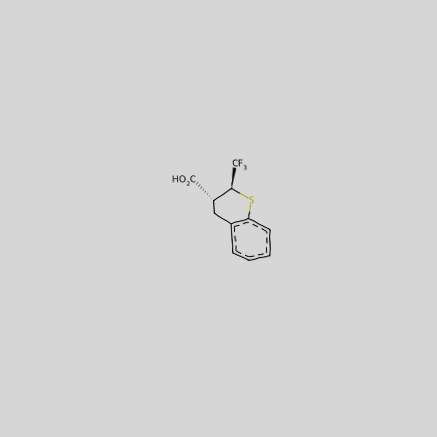 O=C(O)[C@H]1Cc2ccccc2S[C@@H]1C(F)(F)F